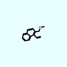 C=Cc1c(COC)ccc2ccccc12